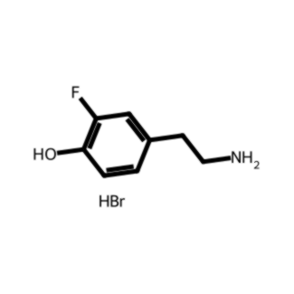 Br.NCCc1ccc(O)c(F)c1